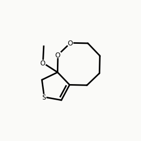 COC12CSC=C1CCCCOO2